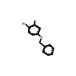 Cc1cc(OCc2ccccc2)ccc1C(C)C